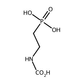 O=C(O)NCCP(=O)(O)O